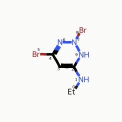 CCNC1=CC(Br)=NN(Br)N1